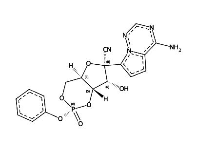 N#C[C@@]1(c2ccc3c(N)ncnn23)O[C@@H]2CO[P@@](=O)(Oc3ccccc3)O[C@H]2[C@H]1O